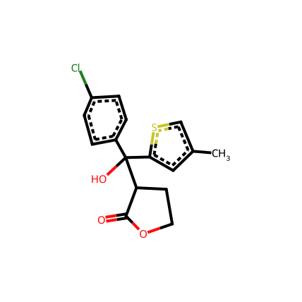 Cc1csc(C(O)(c2ccc(Cl)cc2)C2CCOC2=O)c1